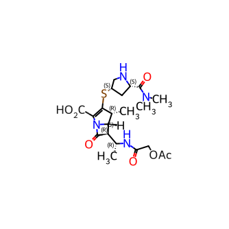 CC(=O)OCC(=O)N[C@H](C)[C@H]1C(=O)N2C(C(=O)O)=C(S[C@@H]3CN[C@H](C(=O)N(C)C)C3)[C@H](C)[C@H]12